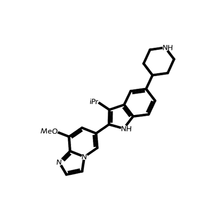 COc1cc(-c2[nH]c3ccc(C4CCNCC4)cc3c2C(C)C)cn2ccnc12